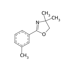 Cc1cccc(C2=NC(C)(C)CO2)c1